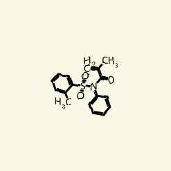 C=C(C)C(=O)N(c1ccccc1)S(=O)(=O)c1ccccc1C